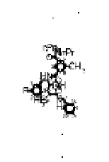 CCCN(CCC)C(=O)c1cc(C)cc(C(=O)NC(Cc2cc(F)cc(F)c2)[C@@H](O)C[C@@H](C)C(=O)NCc2ccccc2)c1